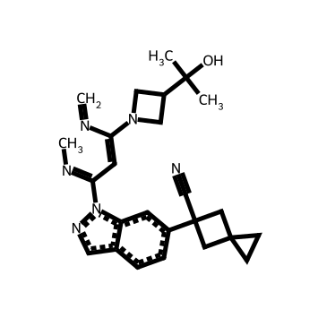 C=N/C(=C\C(=N/C)n1ncc2ccc(C3(C#N)CC4(CC4)C3)cc21)N1CC(C(C)(C)O)C1